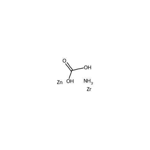 N.O=C(O)O.[Zn].[Zr]